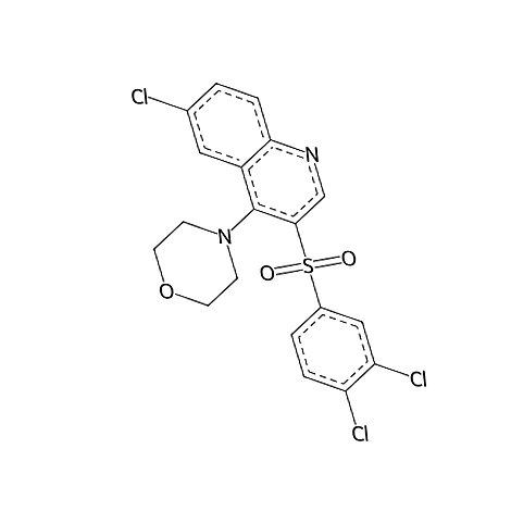 O=S(=O)(c1ccc(Cl)c(Cl)c1)c1cnc2ccc(Cl)cc2c1N1CCOCC1